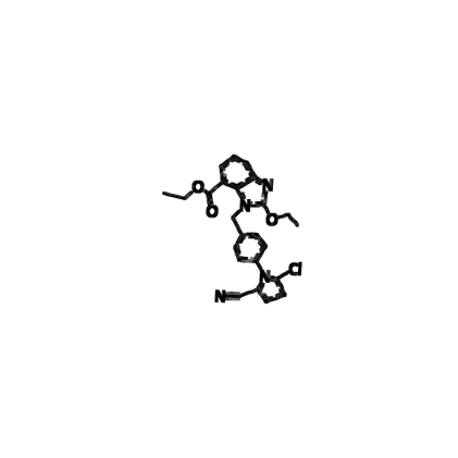 CCOC(=O)c1cccc2nc(OCC)n(Cc3ccc(-n4c(Cl)ccc4C#N)cc3)c12